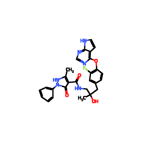 Cc1[nH]n(-c2ccccc2)c(=O)c1C(=O)NCC(C)(O)Cc1ccc(Oc2ncnc3[nH]ccc23)c(F)c1